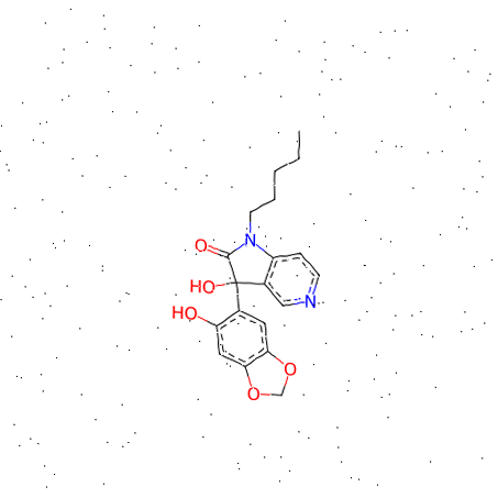 CCCCCN1C(=O)C(O)(c2cc3c(cc2O)OCO3)c2cnccc21